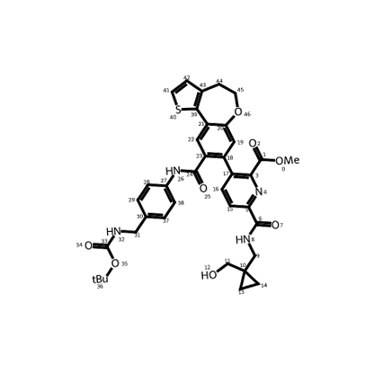 COC(=O)c1nc(C(=O)NCC2(CO)CC2)ccc1-c1cc2c(cc1C(=O)Nc1ccc(CNC(=O)OC(C)(C)C)cc1)-c1sccc1CCO2